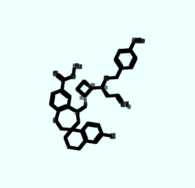 C=CC[C@H](OCc1ccc(OC)cc1)[C@@H]1CC[C@H]1CN1CC2(CCCc3cc(Cl)ccc32)COc2ccc(C(=O)OC(C)(C)C)cc21